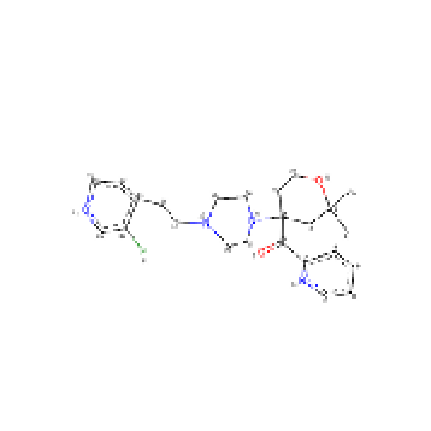 CC1(C)CC(C(=O)c2ccccn2)(N2CCN(CCc3ccncc3F)CC2)CCO1